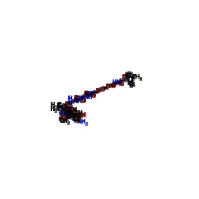 CCCCCCN(C(=O)[C@@H](NC(=O)[C@H]1CCCCN1C)[C@@H](C)CC)[C@H](C[C@@H](OC(=O)NCCNC(=O)CNC(=O)CNC(=O)CNC(=O)CCOCCOCCOCCOCCNC(=O)CCC(=O)N1Cc2ccccc2/C=C(/C)c2ccccc21)c1nc(C(=O)N[C@@H](Cc2ccc(N)c(F)c2)CC(C)(C)C(=O)O)cs1)C(C)C